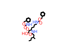 CCCC(C)CC(=O)NC(CCCCNC(=O)OCc1ccccc1)C(=O)CO.O=C1Nc2ccccc2CO1